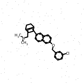 CN(C)CC1=C(c2ccc3cc(OCc4cccc(Cl)c4)ccc3c2)C2CCC1CC2